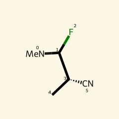 CNC(F)[C@@H](C)C#N